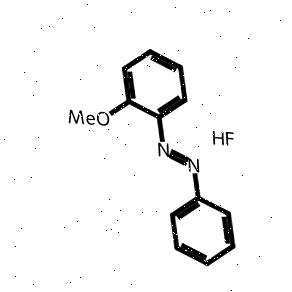 COc1ccccc1N=Nc1ccccc1.F